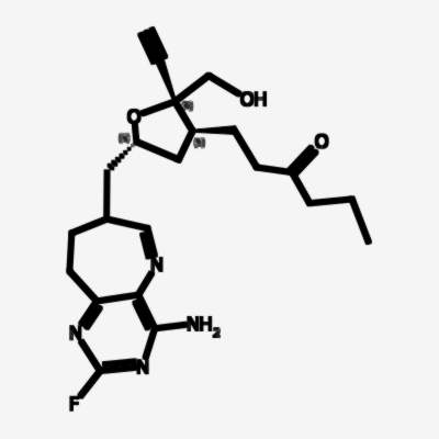 C#C[C@]1(CO)O[C@@H](CC2C=Nc3c(N)nc(F)nc3CC2)C[C@@H]1CCC(=O)CCC